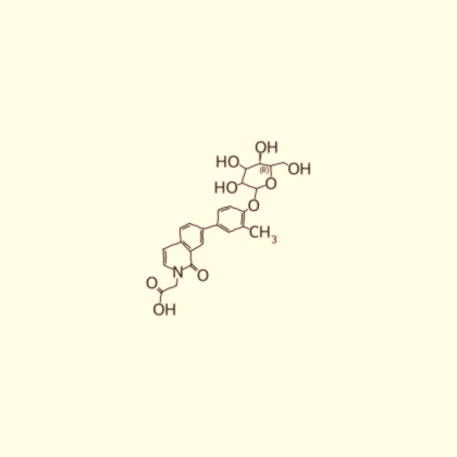 Cc1cc(-c2ccc3ccn(CC(=O)O)c(=O)c3c2)ccc1OC1OC(CO)[C@H](O)C(O)C1O